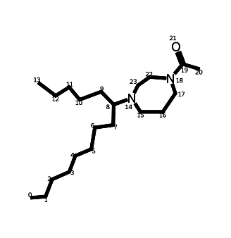 CCCCCCCCC(CCCCC)N1CCCN(C(C)=O)CC1